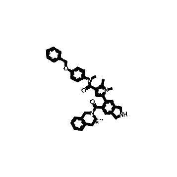 Cc1c(C(=O)N(C)c2ccc(OCc3ccccc3)cc2)cc(-c2cc3c(cc2C(=O)N2Cc4ccccc4C[C@H]2C)CNC3)n1C